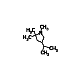 CC(C)C1CN(C)C(C)(C)C1